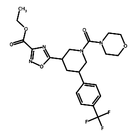 CCOC(=O)c1noc(C2CC(c3ccc(C(F)(F)F)cc3)CN(C(=O)N3CCOCC3)C2)n1